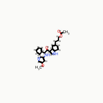 COc1cncc(NC(C(=O)c2c[nH]c3ccc(CCCOC(C)=O)cc23)c2ccccc2)c1